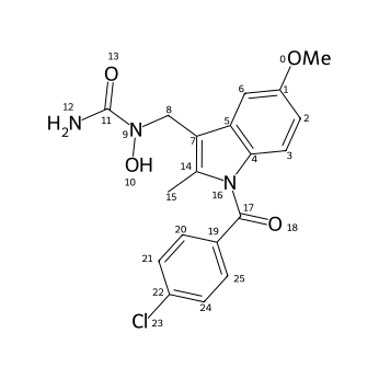 COc1ccc2c(c1)c(CN(O)C(N)=O)c(C)n2C(=O)c1ccc(Cl)cc1